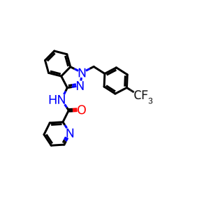 O=C(Nc1nn(Cc2ccc(C(F)(F)F)cc2)c2ccccc12)c1ccccn1